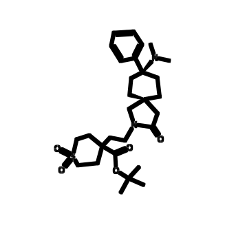 CN(C)[C@]1(c2ccccc2)CC[C@@]2(CC1)CC(=O)N(CCC1(C(=O)OC(C)(C)C)CCS(=O)(=O)CC1)C2